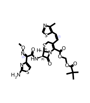 CO/N=C(\C(=O)N[C@@H]1C(=O)N2C(C(=O)OCOC(=O)C(C)(C)C)=C(/C=C\c3scnc3C)CS[C@H]12)c1csc(N)n1